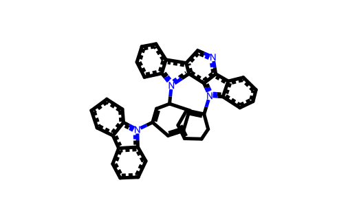 C1=CCCC(n2c3ccccc3c3ncc4c5ccccc5n(C5C=C(n6c7ccccc7c7ccccc76)C=CC5)c4c32)=C1